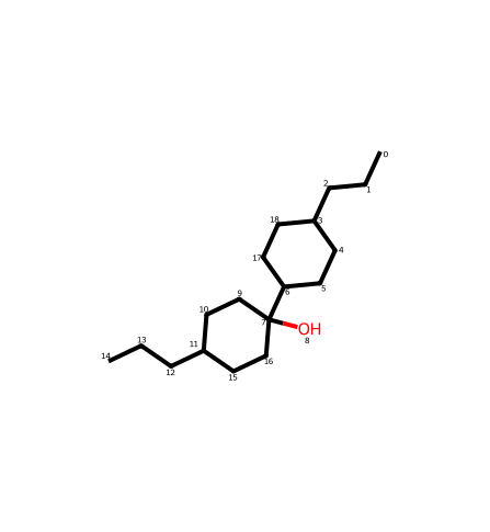 CCCC1CCC(C2(O)CCC(CCC)CC2)CC1